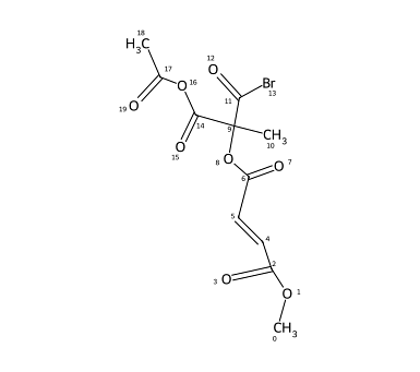 COC(=O)C=CC(=O)OC(C)(C(=O)Br)C(=O)OC(C)=O